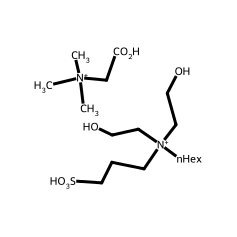 CCCCCC[N+](CCO)(CCO)CCCS(=O)(=O)O.C[N+](C)(C)CC(=O)O